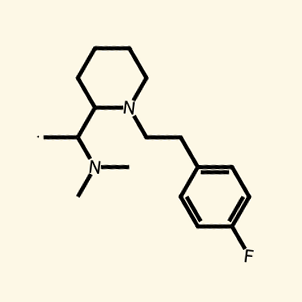 [CH2]C(C1CCCCN1CCc1ccc(F)cc1)N(C)C